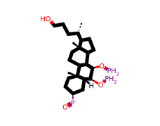 C[C@@H](CCCO)C1CCC2C3C(CC[C@@]21C)[C@@]1(C)CC[C@@H](P=O)C[C@H]1[C@H](OP)[C@@H]3OP